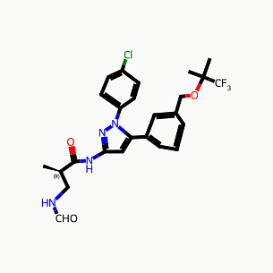 C[C@H](CNC=O)C(=O)Nc1cc(-c2cccc(COC(C)(C)C(F)(F)F)c2)n(-c2ccc(Cl)cc2)n1